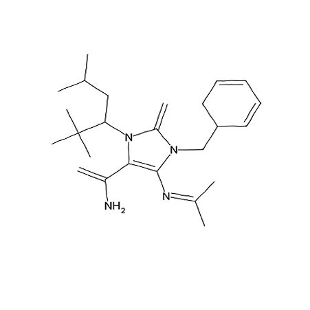 C=C(N)C1=C(N=C(C)C)N(CC2C=CC=CC2)C(=C)N1C(CC(C)C)C(C)(C)C